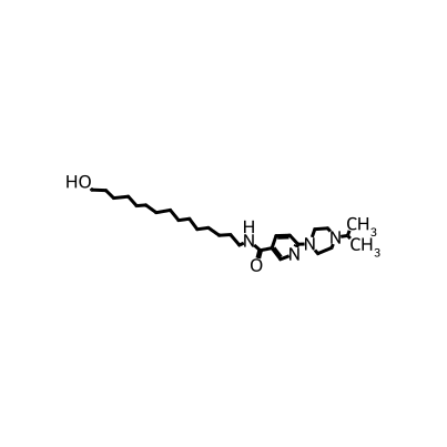 CC(C)N1CCN(c2ccc(C(=O)NCCCCCCCCCCCCCCCO)cn2)CC1